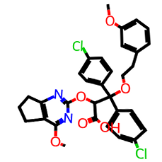 COc1cccc(CCOC(c2ccc(Cl)cc2)(c2ccc(Cl)cc2)C(Oc2nc3c(c(OC)n2)CCC3)C(=O)O)c1